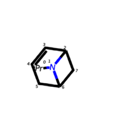 CC(C)N1C2C=CCC1C2